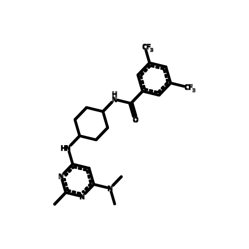 Cc1nc(NC2CCC(NC(=O)c3cc(C(F)(F)F)cc(C(F)(F)F)c3)CC2)cc(N(C)C)n1